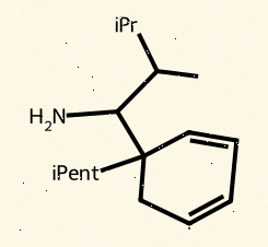 CCCC(C)C1(C(N)C(C)C(C)C)C=CC=[C]C1